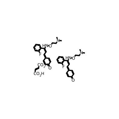 CN(C)CCON/C(=C/C=C1C=CC(=O)C=C1)c1ccccc1F.CN(C)CCON/C(=C/C=C1C=CC(=O)C=C1)c1ccccc1F.O=C(O)/C=C/C(=O)O